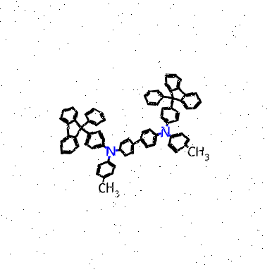 Cc1ccc(N(c2ccc(-c3ccc(N(c4ccc(C)cc4)c4ccc(C5(c6ccccc6)c6ccccc6-c6ccccc65)cc4)cc3)cc2)c2ccc(C3(c4ccccc4)c4ccccc4-c4ccccc43)cc2)cc1